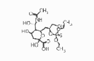 CCOP(=S)(OCC)O[C@H](CO)CC1OC(O)(C(=O)O)CC(O)C1[C@H](O)NC(C)=O